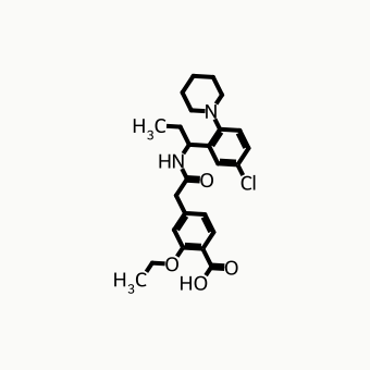 CCOc1cc(CC(=O)NC(CC)c2cc(Cl)ccc2N2CCCCC2)ccc1C(=O)O